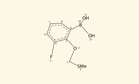 CSCOc1c(F)cccc1B(O)O